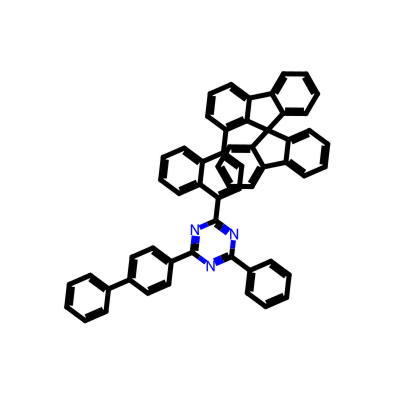 c1ccc(-c2ccc(-c3nc(-c4ccccc4)nc(-c4ccc(-c5cccc6c5C5(c7ccccc7-c7ccccc75)c5ccccc5-6)c5ccccc45)n3)cc2)cc1